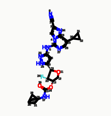 N#Cc1cn2c(Nc3cc([C@@H]4OC[C@H](OC(=O)NC56CC(C5)C6)[C@@H]4F)[nH]n3)ncc(C3CC3)c2n1